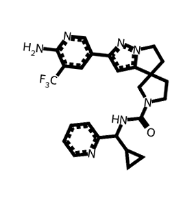 Nc1ncc(-c2cc3n(n2)CCC32CCN(C(=O)NC(c3ccccn3)C3CC3)C2)cc1C(F)(F)F